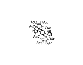 CC(=O)OC[C@H]1O[C@@H](C2(c3ccc(C4([C@@H]5O[C@H](COC(C)=O)[C@@H](OC(C)=O)[C@@H](OC(C)=O)[C@H]5OC(C)=O)C=NN=N4)cc3)C=NN=N2)[C@H](OC(C)=O)[C@@H](OC(C)=O)[C@@H]1OC(C)=O